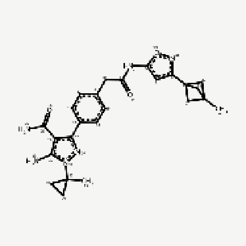 CC12CC(c3cc(NC(=O)Cc4ccc(-c5nn(C6(C)CC6)c(N)c5C(N)=O)cc4)on3)(C1)C2